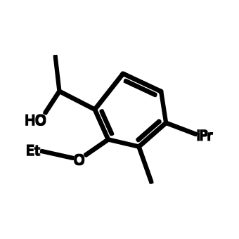 CCOc1c(C(C)O)ccc(C(C)C)c1C